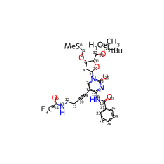 CSCOC1C[C@H](n2cc(C#CCCNC(=O)C(F)(F)F)c(NC(=O)c3ccccc3)nc2=O)O[C@@H]1CO[Si](C)(C)C(C)(C)C